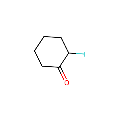 O=C1CCCCC1F